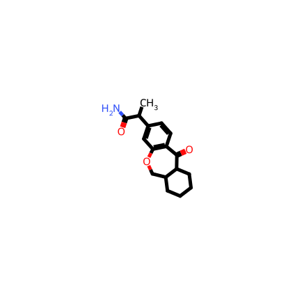 CC(C(N)=O)c1ccc2c(c1)OCC1CCCCC1C2=O